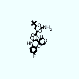 CC(C)(C)CC[C@H](OC(N)=O)C(=O)N[C@@H]1C(=O)Nc2ccc(F)cc2OC12CCOCC2